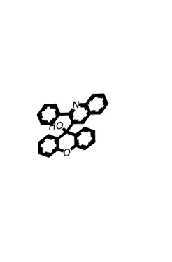 OC1(c2cc3ccccc3nc2-c2ccccc2)c2ccccc2Oc2ccccc21